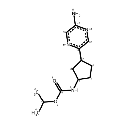 CC(C)OC(=O)NC1CCC(c2cnc(N)cn2)C1